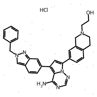 Cl.Nc1ncnn2c(-c3ccc4c(c3)CN(CCO)CC4)cc(-c3ccc4cn(Cc5ccccc5)nc4c3)c12